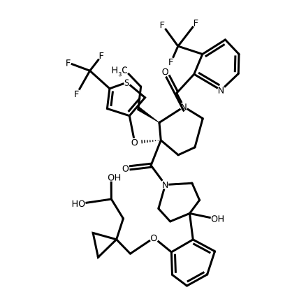 CCC[C@H]1N(C(=O)c2ncccc2C(F)(F)F)CCC[C@@]1(Oc1csc(C(F)(F)F)c1)C(=O)N1CCC(O)(c2ccccc2OCC2(CC(O)O)CC2)CC1